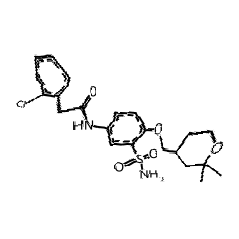 CC1(C)CC(COc2ccc(NC(=O)Cc3ccccc3Cl)cc2S(N)(=O)=O)CCO1